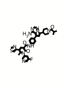 Cc1c(-c2cscn2)cc(C(=O)Nc2ccc(-c3cc(C4CCN(C(=O)C(C)C)CC4)n4ncnc(N)c34)cc2)c(=O)n1-c1cncc(F)c1